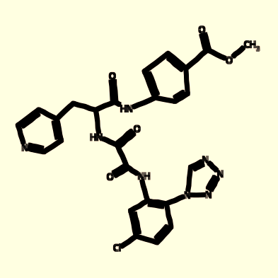 COC(=O)c1ccc(NC(=O)C(Cc2ccncc2)NC(=O)C(=O)Nc2cc(Cl)ccc2-n2cnnn2)cc1